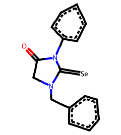 O=C1CN(Cc2ccccc2)C(=[Se])N1c1ccccc1